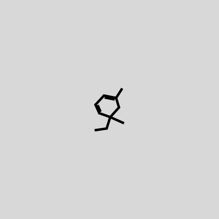 CCC1(C)C=CC=C(C)C1